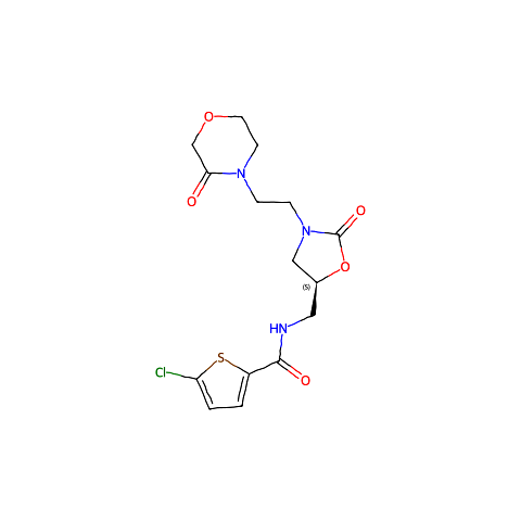 O=C(NC[C@H]1CN(CCN2CCOCC2=O)C(=O)O1)c1ccc(Cl)s1